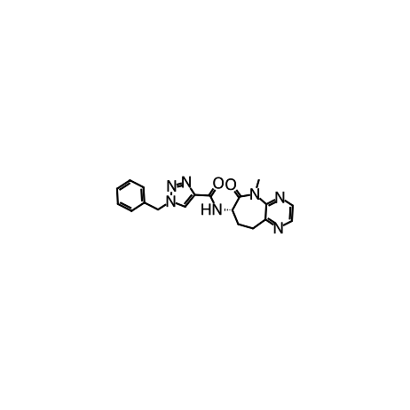 CN1C(=O)[C@@H](NC(=O)c2cn(Cc3ccccc3)nn2)CCc2nccnc21